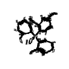 Cc1ccc(P(=O)(c2ccccc2C)c2ccccc2C)c(C)c1